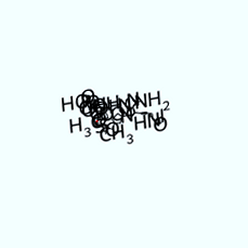 CSSC(C)OC1CC(n2cc(C#CCNC(=O)I)c3c(N)ncnc32)OC1COP(=O)(O)OP(=O)(O)OP(=O)(O)O